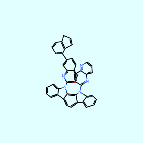 C1=Cc2c(cccc2-c2ccc3ccc(-n4c5ccccc5c5ccc6c7ccccc7n(-c7ccc8ncccc8n7)c6c54)nc3c2)C1